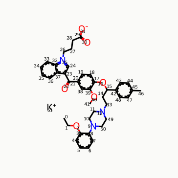 CCOc1ccccc1N1CCN(CCC(Oc2ccc(C(=O)c3cn(CCCC(=O)[O-])c4ccccc34)cc2OC)c2ccc(C)cc2)CC1.[K+]